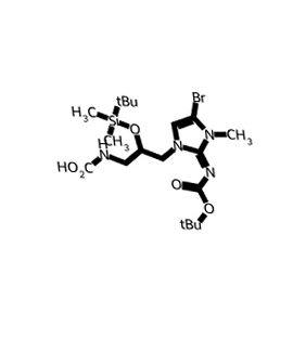 Cn1c(Br)cn(CC(CNC(=O)O)O[Si](C)(C)C(C)(C)C)/c1=N\C(=O)OC(C)(C)C